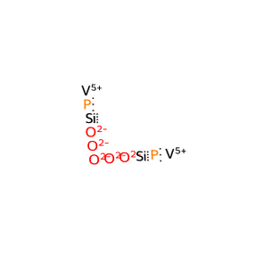 [O-2].[O-2].[O-2].[O-2].[O-2].[P].[P].[Si].[Si].[V+5].[V+5]